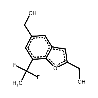 CC(F)(F)c1cc(CO)cc2cc(CO)oc12